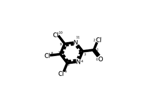 O=C(Cl)c1nc(Cl)c(Cl)c(Cl)n1